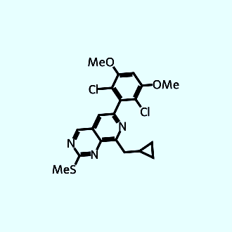 COc1cc(OC)c(Cl)c(-c2cc3cnc(SC)nc3c(CC3CC3)n2)c1Cl